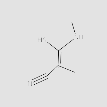 CN/C(S)=C(\C)C#N